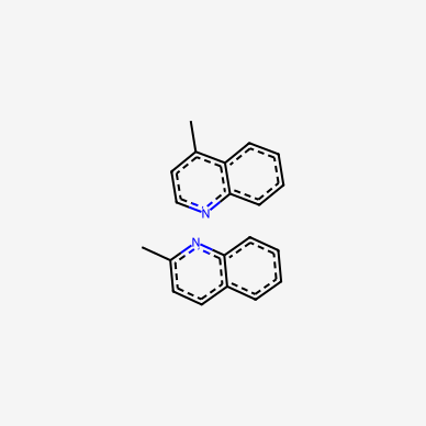 Cc1ccc2ccccc2n1.Cc1ccnc2ccccc12